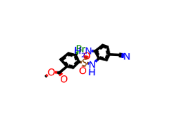 COC(=O)c1ccc(Br)c(S(=O)(=O)Nc2cc(C#N)ccc2N)c1